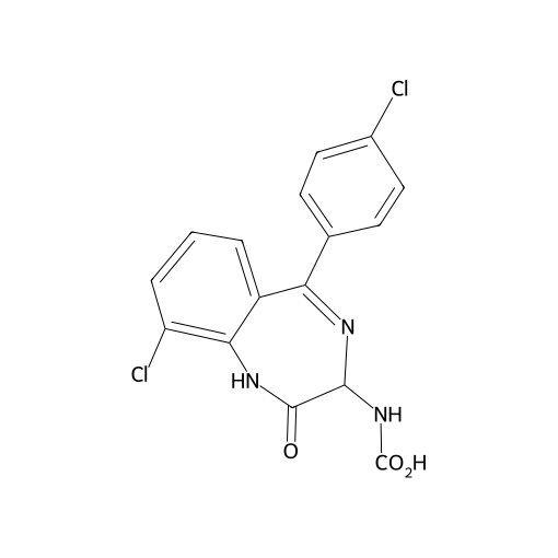 O=C(O)NC1N=C(c2ccc(Cl)cc2)c2cccc(Cl)c2NC1=O